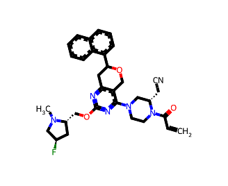 C=CC(=O)N1CCN(c2nc(OC[C@@H]3C[C@@H](F)CN3C)nc3c2COC(c2cccc4ccccc24)C3)C[C@@H]1CC#N